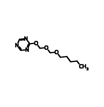 CCCCCOCOCOc1ncncn1